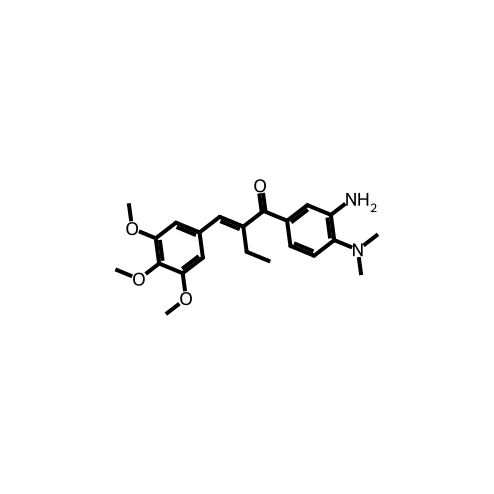 CC/C(=C\c1cc(OC)c(OC)c(OC)c1)C(=O)c1ccc(N(C)C)c(N)c1